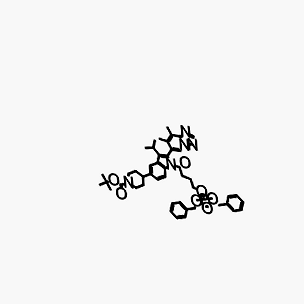 Cc1c(-c2c(C(C)C)c3cc(C4CCN(C(=O)OC(C)(C)C)CC4)ccc3n2C(=O)CCCOP(=O)(OCc2ccccc2)OCc2ccccc2)cn2ncnc2c1C